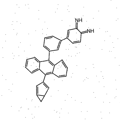 N=C1C=CC(c2cccc(-c3c4ccccc4c(C4=CC5CC5=C4)c4ccccc34)c2)=CC1=N